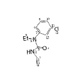 C#CNC(=O)N(CC)c1cccc(Cl)c1